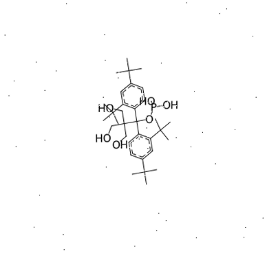 CC(C)(C)c1ccc(C(OP(O)O)(c2ccc(C(C)(C)C)cc2C(C)(C)C)C(CO)(CO)CO)c(C(C)(C)C)c1